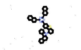 c1ccc2cc(-c3nc(-c4ccc5ccccc5c4)nc(-c4ccc5c(c4)sc4cccc(-n6c7ccccc7c7c8ccccc8ccc76)c45)n3)ccc2c1